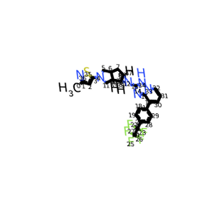 Cc1cc(N2CC3C[C@@H]4[C@H]([C@@H]3C2)N4C2N=C3C(c4ccc(C(F)(F)C(F)(F)F)cc4)=CC=CN3N2)sn1